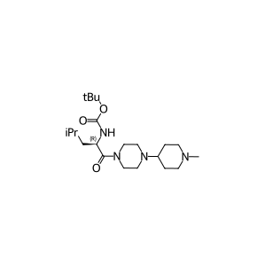 CC(C)C[C@@H](NC(=O)OC(C)(C)C)C(=O)N1CCN(C2CCN(C)CC2)CC1